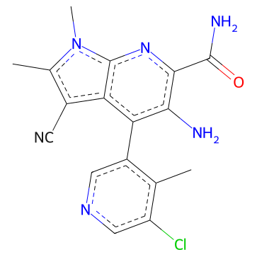 Cc1c(Cl)cncc1-c1c(N)c(C(N)=O)nc2c1c(C#N)c(C)n2C